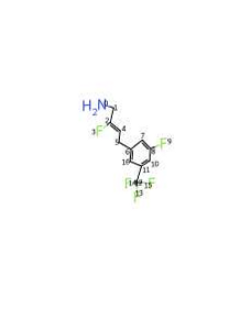 NCC(F)=CCc1cc(F)cc(C(F)(F)F)c1